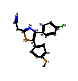 CSc1ccc(-c2sc(CC#N)nc2-c2ccc(F)cc2)cc1